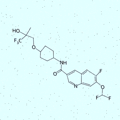 CC(O)(COC1CCC(NC(=O)c2cnc3cc(OC(F)F)c(F)cc3c2)CC1)C(F)(F)F